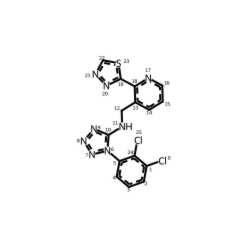 Clc1cccc(-n2nnnc2NCc2cccnc2-c2nncs2)c1Cl